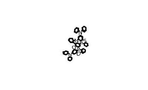 c1ccc(N(c2ccccc2)c2cc3c4c(c2)Oc2c(cc5c6c2c2ccccc2n6-c2cc(N(c6ccccc6)c6ccccc6)cc6c2B5c2ccccc2S6)B4c2ccccc2O3)cc1